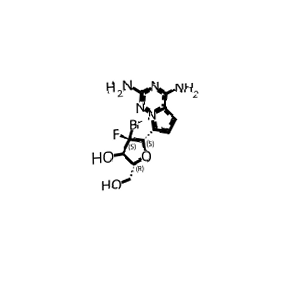 Nc1nc(N)c2ccc([C@@H]3O[C@H](CO)C(O)[C@]3(F)Br)n2n1